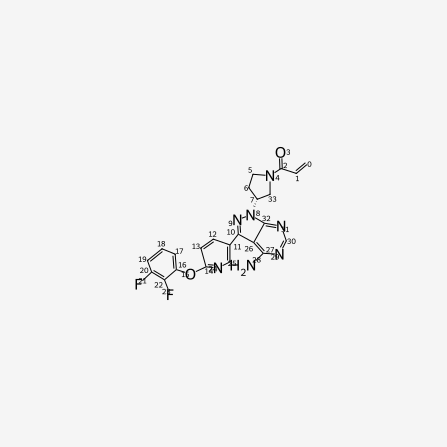 C=CC(=O)N1CC[C@@H](n2nc(-c3ccc(Oc4cccc(F)c4F)nc3)c3c(N)ncnc32)C1